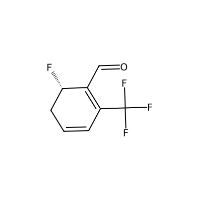 O=CC1=C(C(F)(F)F)C=CC[C@@H]1F